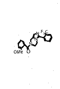 COc1ccccc1C(=O)N1CCn2c(cnc2-c2ccccc2C(F)(F)F)C1